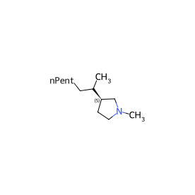 CCCCCCC(C)[C@@H]1CCN(C)C1